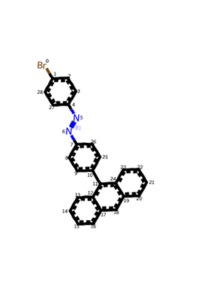 Brc1ccc(/N=N/c2ccc(-c3c4ccccc4cc4ccccc34)cc2)cc1